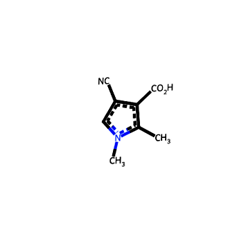 Cc1c(C(=O)O)c(C#N)cn1C